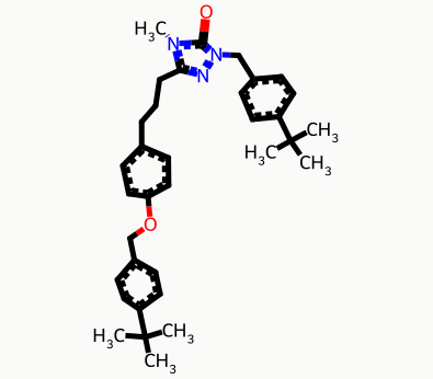 Cn1c(CCCc2ccc(OCc3ccc(C(C)(C)C)cc3)cc2)nn(Cc2ccc(C(C)(C)C)cc2)c1=O